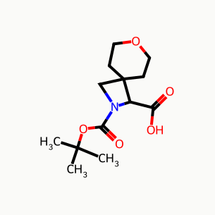 CC(C)(C)OC(=O)N1CC2(CCOCC2)C1C(=O)O